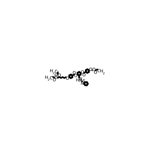 C=CC(=O)OCOc1ccc(C(=O)Oc2ccc(OC(=O)c3ccc(OCCCCC(COC(=O)C=C)OC(=O)C=C)cc3)c(/C=N/Nc3nc4ccccc4s3)c2)cc1